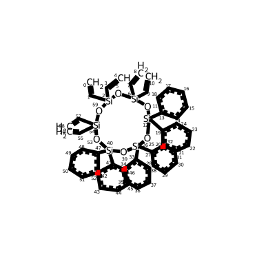 C=C[Si]1(C=C)O[Si](C=C)(C=C)O[Si](c2ccccc2)(c2ccccc2)O[Si](c2ccccc2)(c2ccccc2)O[Si](c2ccccc2)(c2ccccc2)O[Si](C=C)(C=C)O1